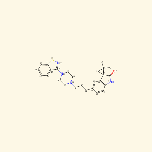 CC1(C)CC12C(=O)Nc1ccc(CCCN3CCN(c4nsc5ccccc45)CC3)cc12